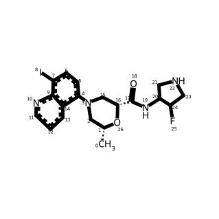 C[C@@H]1CN(c2ccc(I)c3ncccc23)C[C@H](C(=O)NC2CNCC2F)O1